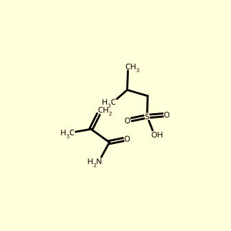 C=C(C)C(N)=O.CC(C)CS(=O)(=O)O